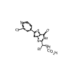 CC(C)C(NC(=O)O)c1nc2cc(-c3ccnc(Cl)c3)sc2c(=O)[nH]1